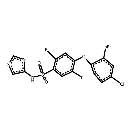 C[CH]Cc1cc(Cl)ccc1Oc1cc(F)c(S(=O)(=O)Nc2cscn2)cc1Cl